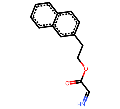 N=CC(=O)OCCc1ccc2ccccc2c1